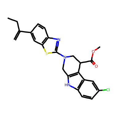 C=C(CC)c1ccc2nc(N3Cc4[nH]c5ccc(Cl)cc5c4C(C(=O)OC)C3)sc2c1